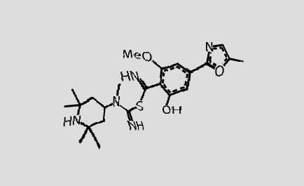 COc1cc(-c2ncc(C)o2)cc(O)c1C(=N)SC(=N)N(C)C1CC(C)(C)NC(C)(C)C1